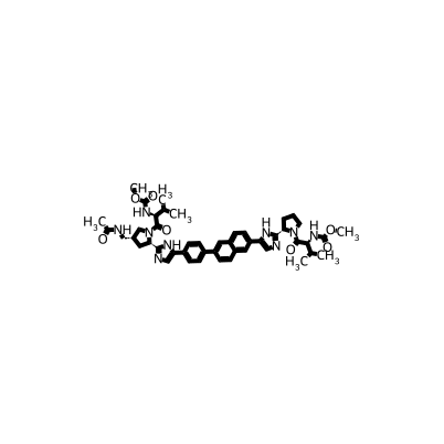 COC(=O)N[C@H](C(=O)N1CCC[C@H]1c1ncc(-c2ccc3cc(-c4ccc(-c5cnc([C@@H]6C[C@H](CNC(C)=O)CN6C(=O)[C@@H](NC(=O)OC)C(C)C)[nH]5)cc4)ccc3c2)[nH]1)C(C)C